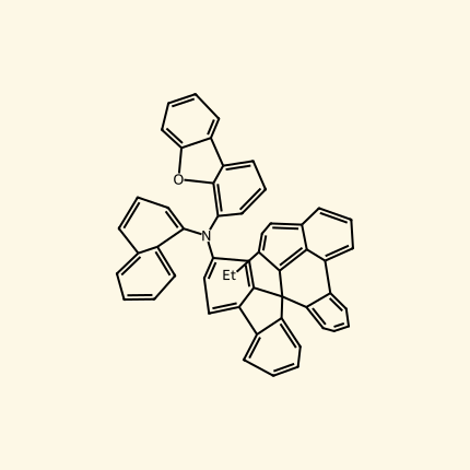 CCc1ccc2cccc3c2c1C1(c2ccccc2-c2ccc(N(c4cccc5ccccc45)c4cccc5c4oc4ccccc45)cc21)c1ccccc1-3